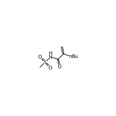 C=C(CCCC)C(=O)NS(C)(=O)=O